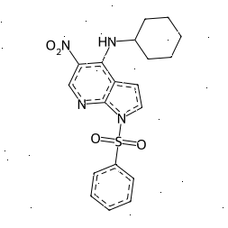 O=[N+]([O-])c1cnc2c(ccn2S(=O)(=O)c2ccccc2)c1NC1CCCCC1